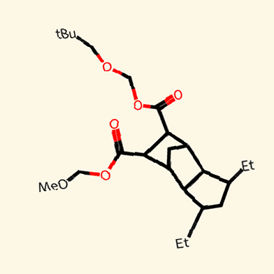 CCC1CC(CC)C2C3CC(C(C(=O)OCOC)C3C(=O)OCOCC(C)(C)C)C12